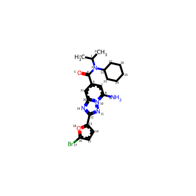 CC(C)N(C(=O)c1cc(N)n2nc(-c3ccc(Br)o3)nc2c1)C1CCCCC1